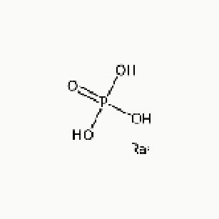 O=P(O)(O)O.[Ra]